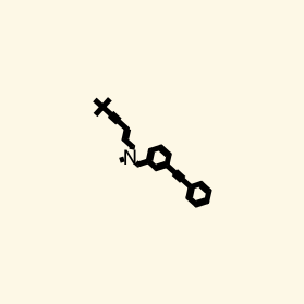 CN(CC=CC#CC(C)(C)C)Cc1cccc(C#Cc2ccccc2)c1